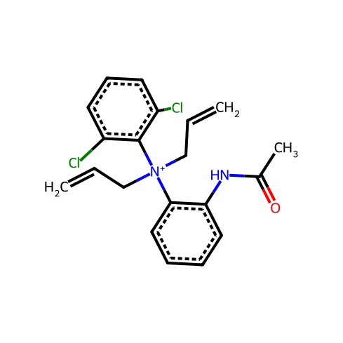 C=CC[N+](CC=C)(c1ccccc1NC(C)=O)c1c(Cl)cccc1Cl